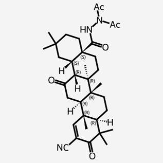 CC(=O)N(NC(=O)[C@]12CCC(C)(C)C[C@H]1[C@H]1C(=O)C[C@@H]3[C@@]4(C)C=C(C#N)C(=O)C(C)(C)[C@@H]4CC[C@@]3(C)[C@]1(C)CC2)C(C)=O